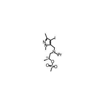 Cc1nn(C)c(CN(C[C@H](C)OS(C)(=O)=O)C(C)C)c1I